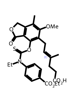 CCOC(=O)c1ccc(N(CC)C(=S)Oc2c(C/C=C(\C)CCC(=O)O)c(OC)c(C)c3c2C(=O)OC3)cc1